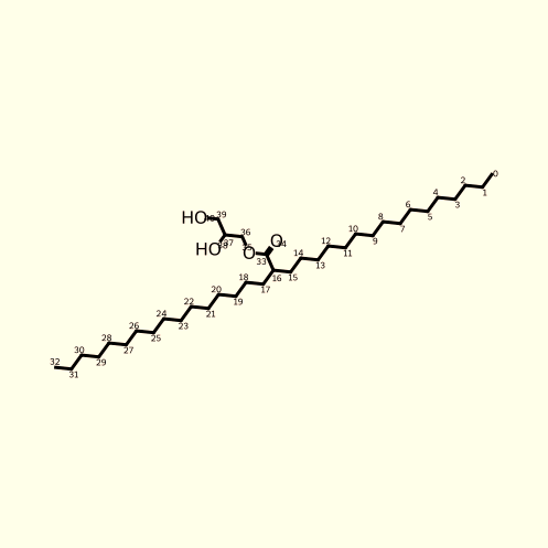 CCCCCCCCCCCCCCCCC(CCCCCCCCCCCCCCCC)C(=O)OCC(O)CO